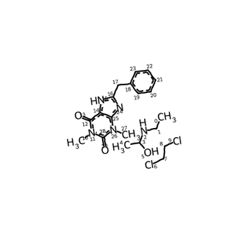 CCNC(C)O.ClCCCl.Cn1c(=O)c2[nH]c(Cc3ccccc3)nc2n(C)c1=O